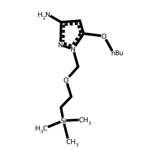 CCCCOc1cc(N)nn1COCC[Si](C)(C)C